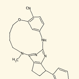 [C-]#[N+]c1ccc2cc1OCCCCN(C)c1nc(nc3c1CCC3c1ccccc1)N2